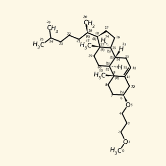 COCCCO[C@H]1CC[C@@]2(C)C(=CC[C@H]3[C@@H]4CC[C@H]([C@H](C)CCCC(C)C)[C@@]4(C)CC[C@@H]32)C1